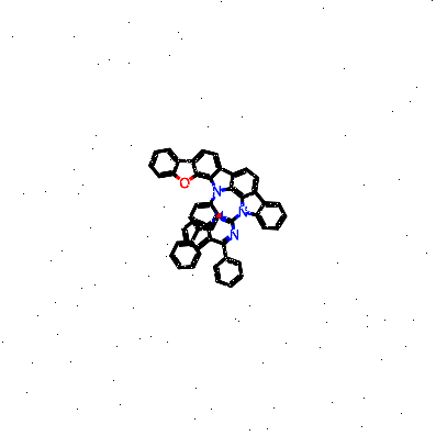 c1ccc(-c2ccc(-n3c4c(ccc5c6ccccc6oc54)c4ccc5c6ccccc6n(-c6nc(-c7ccccc7)c7ccccc7n6)c5c43)cc2)cc1